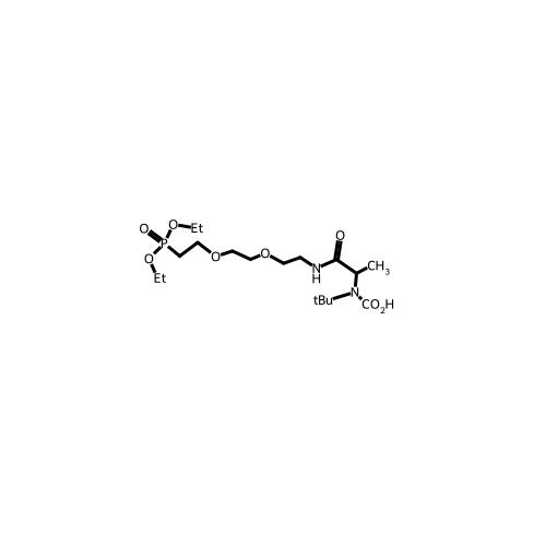 CCOP(=O)(CCOCCOCCNC(=O)C(C)N(C(=O)O)C(C)(C)C)OCC